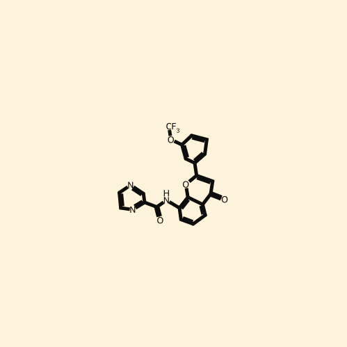 O=C(Nc1cccc2c(=O)cc(-c3cccc(OC(F)(F)F)c3)oc12)c1cnccn1